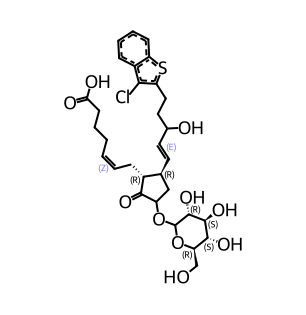 O=C(O)CCC/C=C\C[C@H]1C(=O)C(OC2O[C@H](CO)[C@@H](O)[C@H](O)[C@H]2O)C[C@@H]1/C=C/C(O)CCc1sc2ccccc2c1Cl